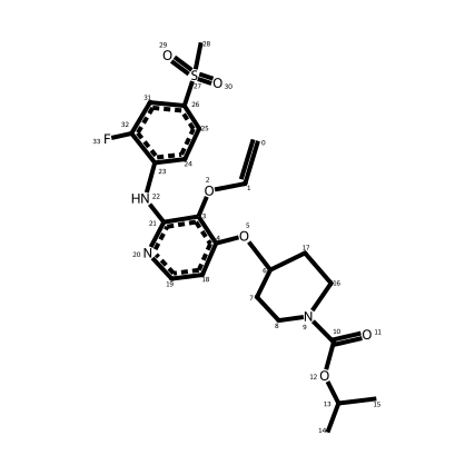 C=COc1c(OC2CCN(C(=O)OC(C)C)CC2)ccnc1Nc1ccc(S(C)(=O)=O)cc1F